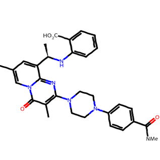 CNC(=O)c1ccc(N2CCN(c3nc4c([C@@H](C)Nc5ccccc5C(=O)O)cc(C)cn4c(=O)c3C)CC2)cc1